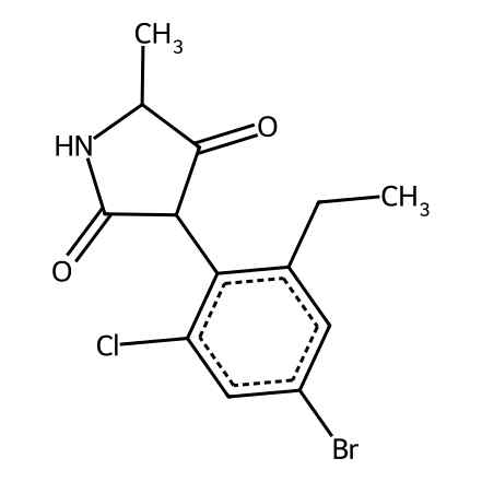 CCc1cc(Br)cc(Cl)c1C1C(=O)NC(C)C1=O